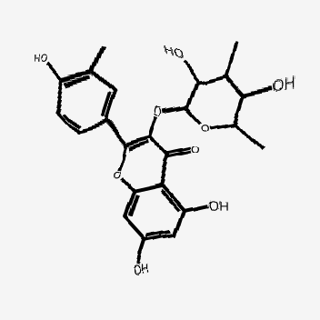 Cc1cc(-c2oc3cc(O)cc(O)c3c(=O)c2OC2OC(C)C(O)C(C)C2O)ccc1O